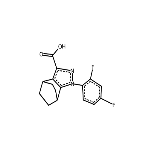 O=C(O)c1nn(-c2ccc(F)cc2F)c2c1C1CCC2CC1